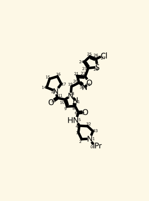 CC(C)N1CCC(NC(=O)c2cc(C(=O)N3CCCC3)n(Cc3cc(-c4ccc(Cl)s4)on3)n2)CC1